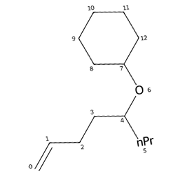 C=CCCC(CCC)OC1CCCCC1